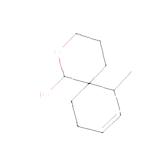 CC1C=CCCC12CCCOC2O